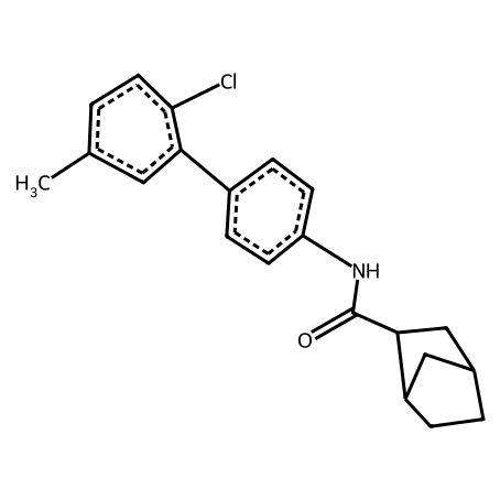 Cc1ccc(Cl)c(-c2ccc(NC(=O)C3CC4CCC3C4)cc2)c1